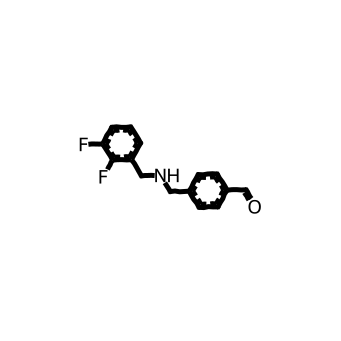 O=Cc1ccc(CNCc2cccc(F)c2F)cc1